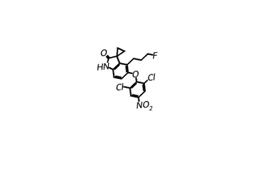 O=C1Nc2ccc(Oc3c(Cl)cc([N+](=O)[O-])cc3Cl)c(CCCF)c2C12CC2